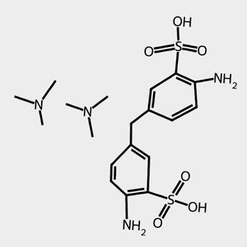 CN(C)C.CN(C)C.Nc1ccc(Cc2ccc(N)c(S(=O)(=O)O)c2)cc1S(=O)(=O)O